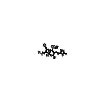 Cc1nnc(SCC2=C(C(=O)[O-])N3C(=O)C(N)[C@H]3SC2)s1.[K+]